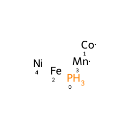 P.[Co].[Fe].[Mn].[Ni]